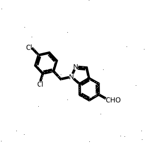 O=Cc1ccc2c(cnn2Cc2ccc(Cl)cc2Cl)c1